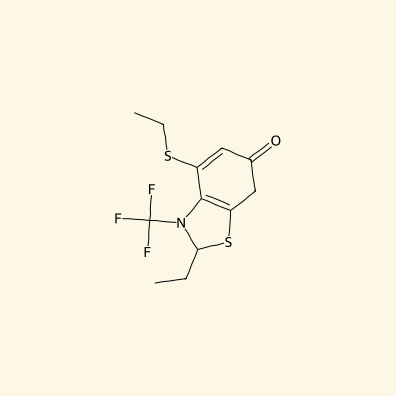 CCSC1=CC(=O)CC2=C1N(C(F)(F)F)C(CC)S2